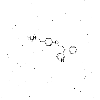 NCCc1ccc(OCCC(c2ccccc2)c2cccnc2)cc1